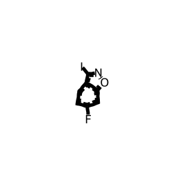 Fc1ccc2c(I)noc2c1